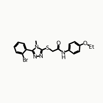 CCOc1ccc(NC(=O)CSc2nnc(-c3ccccc3Br)n2C)cc1